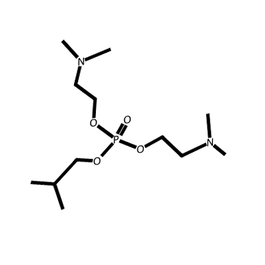 CC(C)COP(=O)(OCCN(C)C)OCCN(C)C